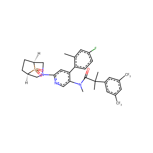 Cc1cc(F)ccc1-c1cc(N2C[C@H]3CC[C@@H](C2)S3(=O)=O)ncc1N(C)C(=O)C(C)(C)c1cc(C(F)(F)F)cc(C(F)(F)F)c1